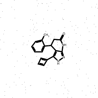 Cc1ccccc1C1CC(=O)Nc2n[nH]c(C3=CC=C3)c21